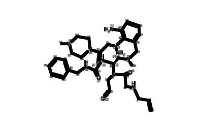 C=CCNCC(=O)N(CC=O)[C@H](CN(C)Cc1cccc(N)c1N(N)CC(=O)N1CCN(C)CC1)NC(=O)NCc1ccccc1